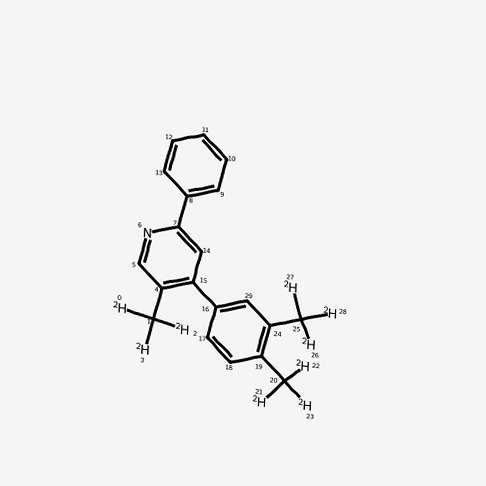 [2H]C([2H])([2H])c1cnc(-c2ccccc2)cc1-c1ccc(C([2H])([2H])[2H])c(C([2H])([2H])[2H])c1